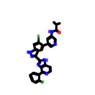 CC(C)C(=O)Nc1cncc(-c2cc3c(-c4nc5c(-c6ccccc6F)nccc5[nH]4)n[nH]c3cc2F)c1